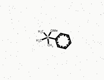 COP(C)(C)(C)c1ccccc1